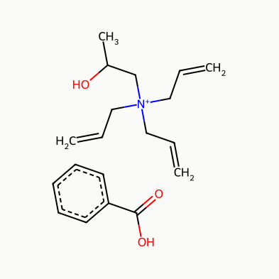 C=CC[N+](CC=C)(CC=C)CC(C)O.O=C(O)c1ccccc1